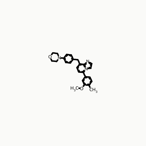 COc1cc(-c2ccc(Cc3ccc(N4CCOCC4)cc3)c3nccn23)ccc1C